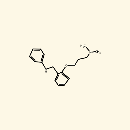 CN(C)CCCOc1ccccc1CNc1ccccc1